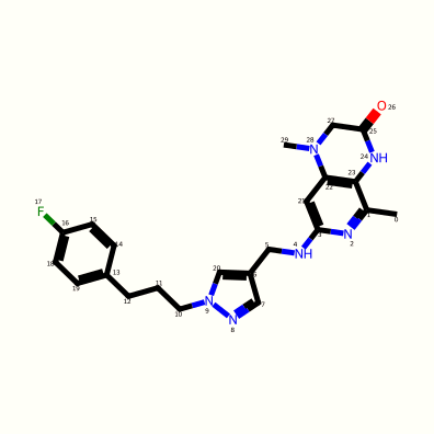 Cc1nc(NCc2cnn(CCCc3ccc(F)cc3)c2)cc2c1NC(=O)CN2C